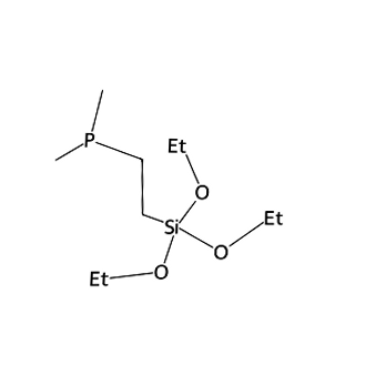 CCO[Si](CCP(C)C)(OCC)OCC